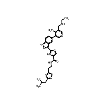 CCNCc1cncc(-c2ccc3[nH]nc(-c4ncc(C(=O)NCCc5nnc(CC(C)C)o5)[nH]4)c3c2)c1C